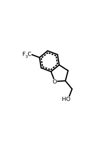 OCC1Cc2ccc(C(F)(F)F)cc2O1